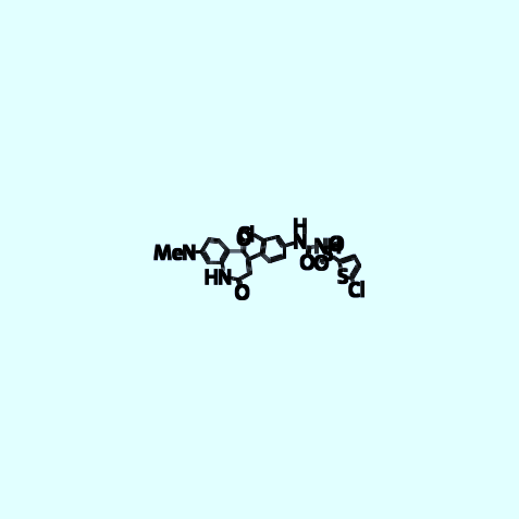 CNc1ccc2c(=O)c(-c3ccc(NC(=O)NS(=O)(=O)c4ccc(Cl)s4)cc3Cl)cc(=O)[nH]c2c1